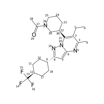 CCc1c(C)nc2cc([C@H]3CC[C@H](C(F)(F)F)CC3)nn2c1[C@@H]1CCCN(C(C)=O)C1